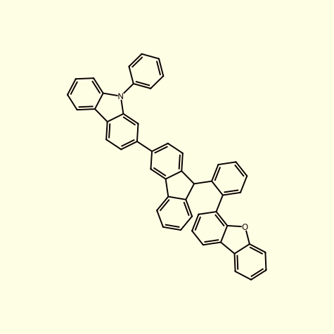 c1ccc(-n2c3ccccc3c3ccc(-c4ccc5c(c4)-c4ccccc4C5c4ccccc4-c4cccc5c4oc4ccccc45)cc32)cc1